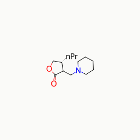 CCC[C@H]1COC(=O)C1CN1CCCCC1